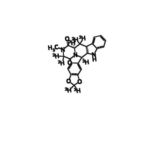 [2H]C1([2H])Oc2ccc([C@]3([2H])c4[nH]c5ccccc5c4C([2H])([2H])[C@]4([2H])C(=O)N(C)C([2H])([2H])C(=O)N34)cc2O1